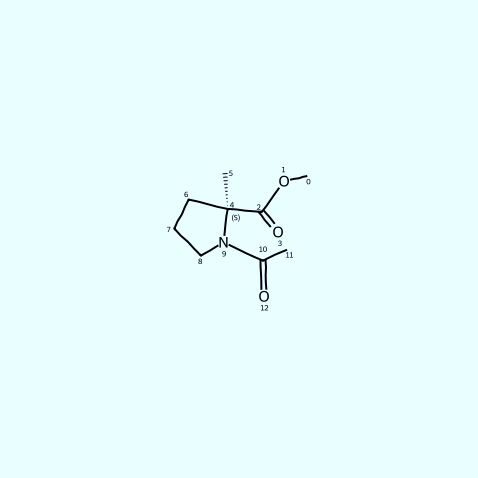 COC(=O)[C@]1(C)CCCN1C(C)=O